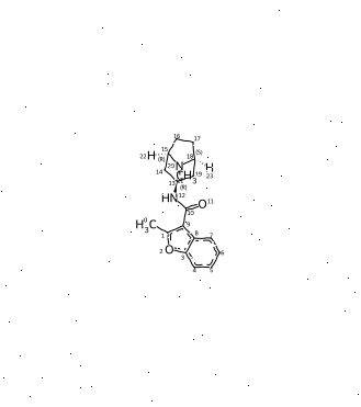 Cc1oc2ccccc2c1C(=O)N[C@H]1C[C@H]2CC[C@@H](C1)N2C